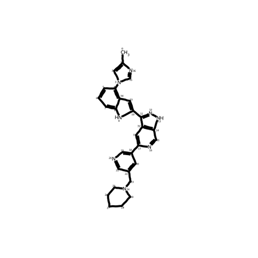 Cc1cn(-c2cccc3[nH]c(-c4n[nH]c5cnc(-c6cncc(CN7CCCCC7)c6)cc45)cc23)cn1